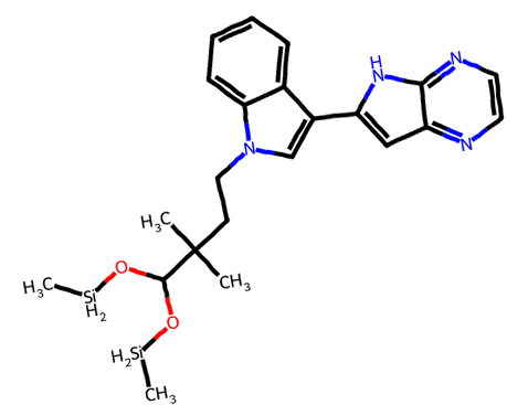 C[SiH2]OC(O[SiH2]C)C(C)(C)CCn1cc(-c2cc3nccnc3[nH]2)c2ccccc21